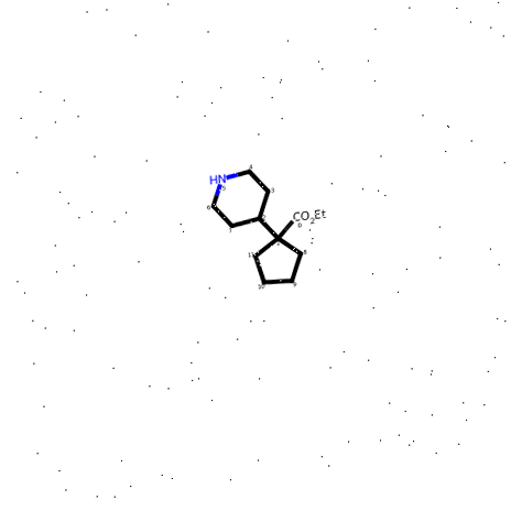 CCOC(=O)C1(C2CCNCC2)CCCC1